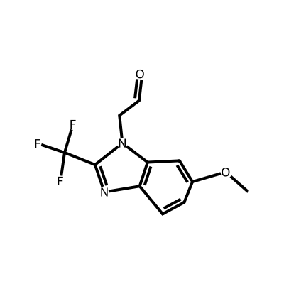 COc1ccc2nc(C(F)(F)F)n(CC=O)c2c1